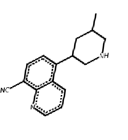 CC1CNCC(c2ccc(C#N)c3ncccc23)C1